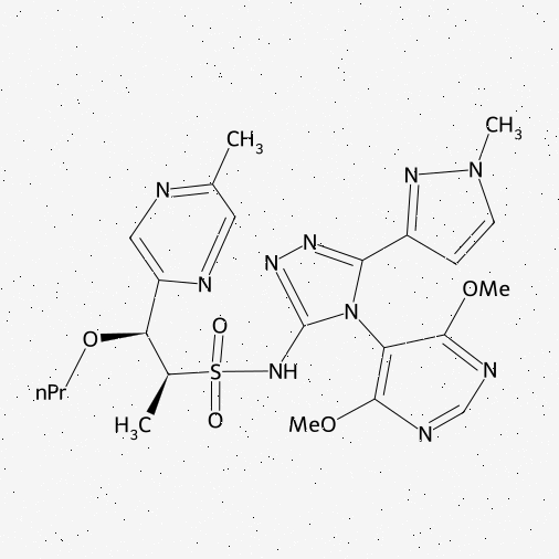 CCCO[C@@H](c1cnc(C)cn1)[C@H](C)S(=O)(=O)Nc1nnc(-c2ccn(C)n2)n1-c1c(OC)ncnc1OC